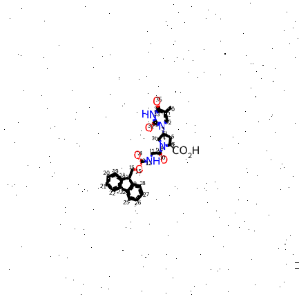 Cc1cn([C@H]2C[C@H](C(=O)O)N(C(=O)CNC(=O)OCC3c4ccccc4-c4ccccc43)C2)c(=O)[nH]c1=O